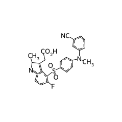 CC1N=c2ccc(F)c(S(=O)(=O)c3ccc(N(C)c4cccc(C#N)c4)cc3)c2=C1CC(=O)O